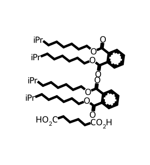 CC(C)CCCCCCOC(=O)c1ccccc1C(=O)OCCCCCCC(C)C.CC(C)CCCCCCOC(=O)c1ccccc1C(=O)OCCCCCCC(C)C.O=C(O)CCCCC(=O)O